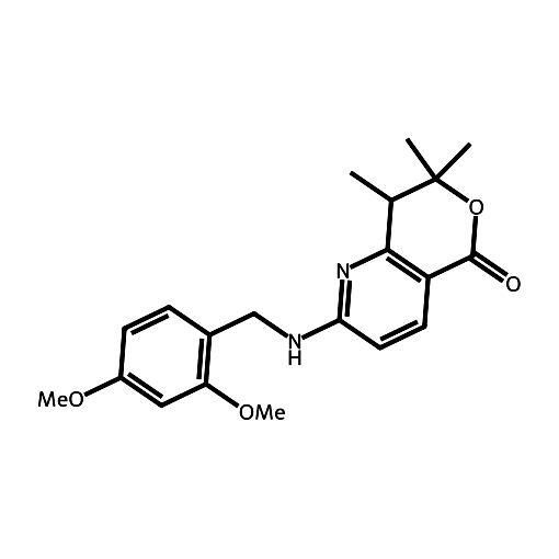 COc1ccc(CNc2ccc3c(n2)C(C)C(C)(C)OC3=O)c(OC)c1